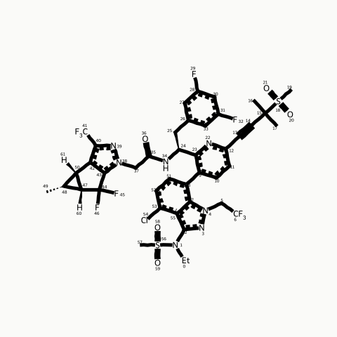 CCN(c1nn(CC(F)(F)F)c2c(-c3ccc(C#CC(C)(C)S(C)(=O)=O)nc3[C@H](Cc3cc(F)cc(F)c3)NC(=O)Cn3nc(C(F)(F)F)c4c3C(F)(F)[C@@H]3[C@H](C)[C@H]43)ccc(Cl)c12)S(C)(=O)=O